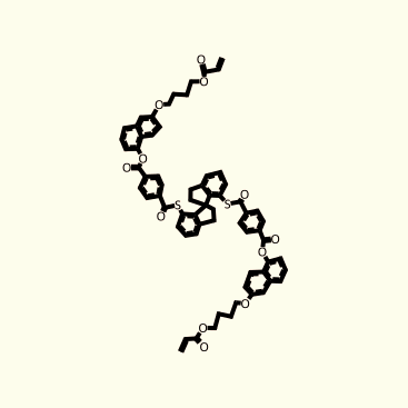 C=CC(=O)OCCCCOc1ccc2c(OC(=O)c3ccc(C(=O)Sc4cccc5c4C4(CC5)CCc5cccc(SC(=O)c6ccc(C(=O)Oc7cccc8cc(OCCCCOC(=O)C=C)ccc78)cc6)c54)cc3)cccc2c1